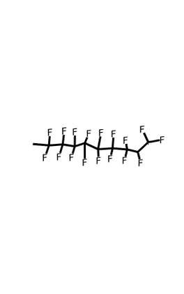 CC(F)(F)C(F)(F)C(F)(F)C(F)(F)C(F)(F)C(F)(F)C(F)(F)C(F)[C](F)F